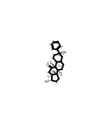 CC(=O)[C@H]1CC[C@H]2[C@@H]3CCC4C[C@@](O)(c5ccccc5)CC[C@]4(C)[C@H]3C(=O)C[C@]12C